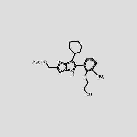 COOCc1cc2[nH]c(-c3cccc([N+](=O)[O-])c3OCCO)c(C3CCCCC3)c2s1